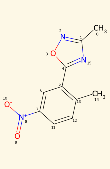 Cc1noc(-c2cc([N+](=O)[O-])ccc2C)n1